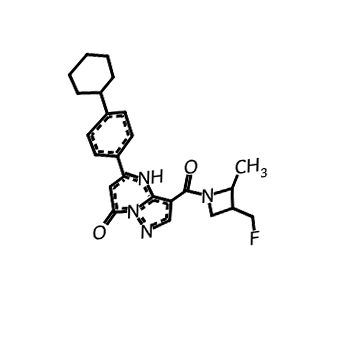 CC1C(CF)CN1C(=O)c1cnn2c(=O)cc(-c3ccc(C4CCCCC4)cc3)[nH]c12